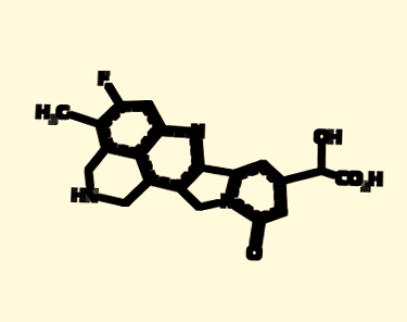 Cc1c(F)cc2nc3c(c4c2c1CNC4)Cn1c-3cc(C(O)C(=O)O)cc1=O